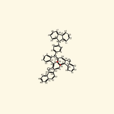 c1ccc(N(c2ccc(-n3c4ccccc4c4ccccc43)cc2)c2ccc3c(c2)oc2ccccc23)c(-c2cccc3c2oc2c4ccccc4ccc32)c1